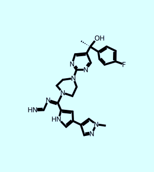 Cn1cc(-c2c[nH]c(/C(=N\C=N)N3CCN(c4ncc([C@@](C)(O)c5ccc(F)cc5)cn4)CC3)c2)cn1